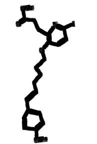 COC(=O)CCc1nc(I)ccc1OCCCCC=Cc1ccc(OC)cc1